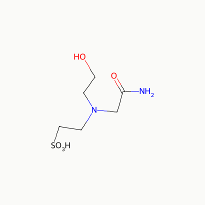 NC(=O)CN(CCO)CCS(=O)(=O)O